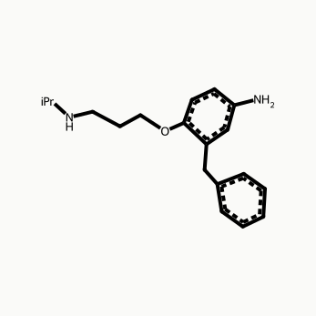 CC(C)NCCCOc1ccc(N)cc1Cc1ccccc1